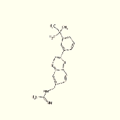 CC(C)(C)c1cccc(-c2cnc3cc(CNC(=N)N)ccc3n2)c1